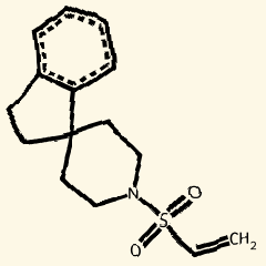 C=CS(=O)(=O)N1CCC2(CCc3ccccc32)CC1